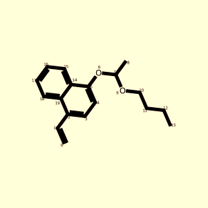 C=Cc1ccc(OC(C)OCCCC)c2ccccc12